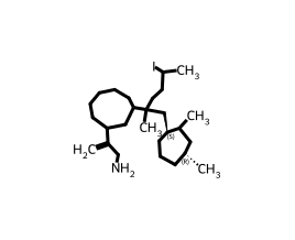 C=C(CN)C1CCCCCC(C(C)(CCC(C)I)C[C@@H]2CCC[C@@H](C)CC2C)C1